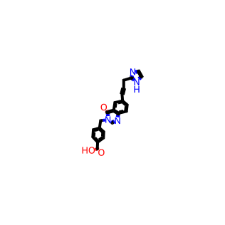 O=C(O)c1ccc(Cn2cnc3ccc(C#CCc4ncc[nH]4)cc3c2=O)cc1